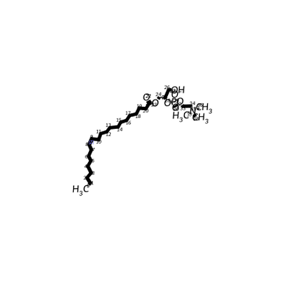 CCCCCCCC/C=C\CCCCCCCCCCCC(=O)OC[C@H](CO)OP(=O)([O-])OCC[N+](C)(C)C